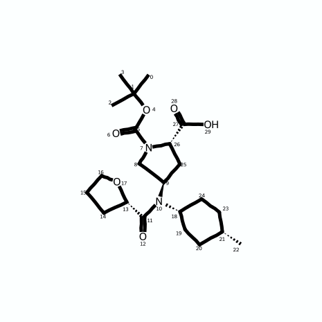 CC(C)(C)OC(=O)N1C[C@H](N(C(=O)[C@@H]2CCCO2)[C@H]2CC[C@@H](C)CC2)C[C@H]1C(=O)O